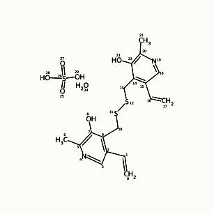 C=Cc1cnc(C)c(O)c1CSSCc1c(C=C)cnc(C)c1O.O.O=S(=O)(O)O